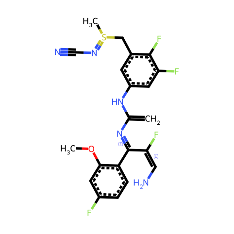 C=C(/N=C(\C(F)=C/N)c1ccc(F)cc1OC)Nc1cc(F)c(F)c(CS(C)=NC#N)c1